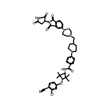 CC1(C)[C@H](NC(=O)c2ccc(N3CCC(CN4CCN(c5ccc6c(c5)C(=O)N(C5CC(=O)NC5=O)C6=O)CC4)CC3)cc2)C(C)(C)[C@H]1Oc1ccc(C#N)c(Cl)c1